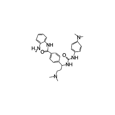 CN(C)CCC(NC(=O)Nc1ccc(N(C)C)cc1)c1ccc(C(=O)Nc2ccccc2N)cc1